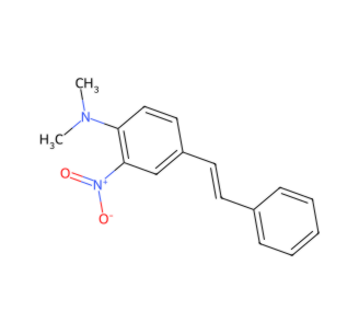 CN(C)c1ccc(/C=C/c2ccccc2)cc1[N+](=O)[O-]